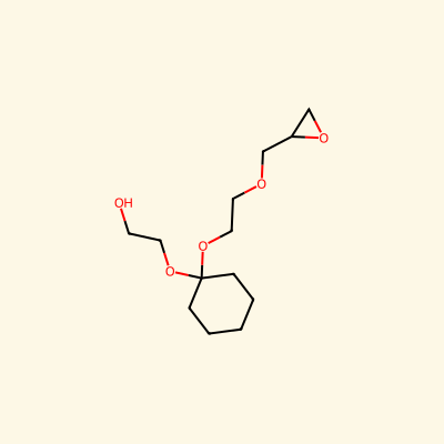 OCCOC1(OCCOCC2CO2)CCCCC1